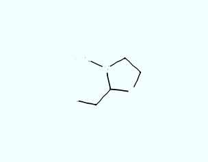 CCC(C)CC1SCCN1N